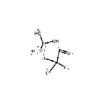 N.O=CC(Cl)(Cl)Cl.OB(O)O